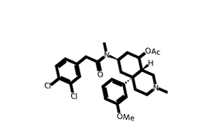 COc1cccc([C@@]23CCN(C)C[C@H]2C(OC(C)=O)C[C@H](N(C)C(=O)Cc2ccc(Cl)c(Cl)c2)C3)c1